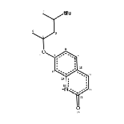 CC(CC(C)C(C)(C)C)Oc1ccc2ccc(=O)[nH]c2c1